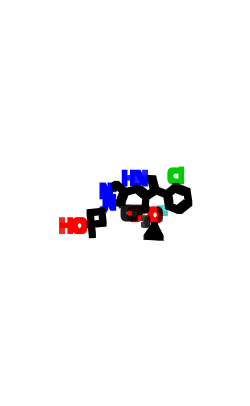 CC1(O)CC(n2ncc(-c3[nH]cc(-c4c(F)cccc4Cl)c3C(=O)OC3CC3)c2C(F)(F)F)C1